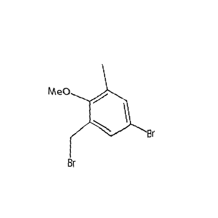 COc1c(C)cc(Br)cc1CBr